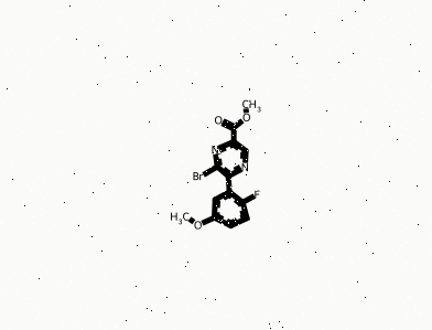 COC(=O)c1cnc(-c2cc(OC)ccc2F)c(Br)n1